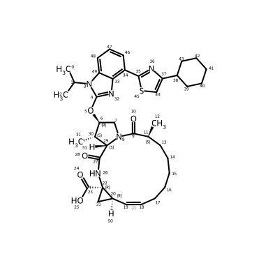 CC(C)n1c(O[C@H]2CN3C(=O)[C@@H](C)CCCCC/C=C\[C@H]4C[C@@]4(C(=O)O)NC(=O)[C@@H]3[C@@H]2C)nc2c(-c3nc(C4CCCCC4)cs3)cccc21